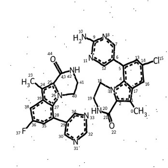 Cc1c2n(c3c(-c4cnc(N)nc4)cc(Cl)cc13)CCNC2=O.Cc1c2n(c3c(-c4cncnc4)cc(F)cc13)CCNC2=O